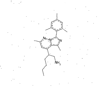 CCCCC(CN)c1cc(C)nn2c(-c3c(C)cc(C)cc3C)nc(C)c12